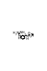 CC(C)(C)OC(=O)NCc1cccc(NC(N)N)c1